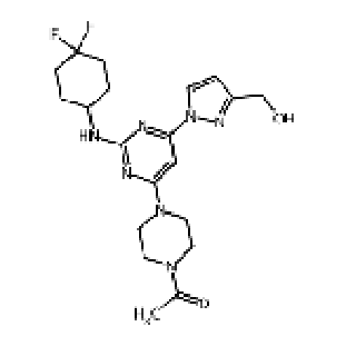 CC(=O)N1CCN(c2cc(-n3ccc(CO)n3)nc(NC3CCC(F)(F)CC3)n2)CC1